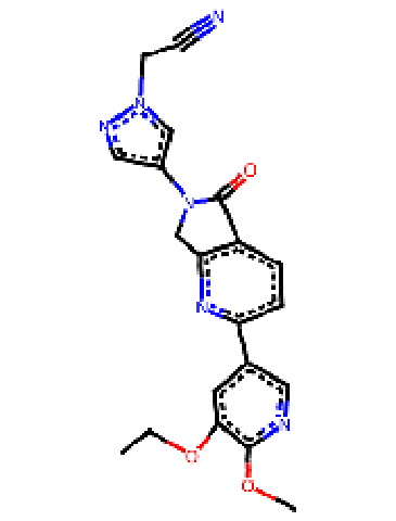 CCOc1cc(-c2ccc3c(n2)CN(c2cnn(CC#N)c2)C3=O)cnc1OC